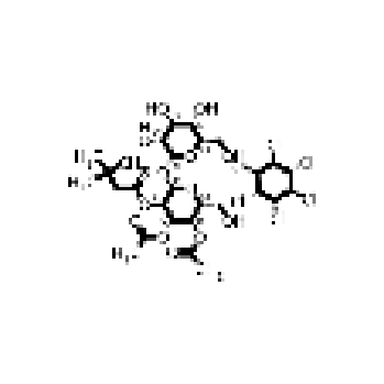 CC(=O)O[C@@H]1[C@@H](OC(=O)CC(C)(C)C)[C@@H](O[C@H]2O[C@H](CO)[C@@H](O)[C@H](O)[C@H]2O)O[C@H](CO)[C@H]1OC(C)=O.Cl[C@H]1[C@H](Cl)[C@@H](Cl)[C@@H](Cl)[C@H](Cl)[C@H]1Cl